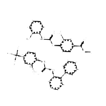 COC(=O)c1ccc(NC(=O)Nc2ccccc2Br)c(O)c1.O=C(Nc1ccc(C(F)(F)F)cc1O)Nc1ccccc1-c1ccccc1